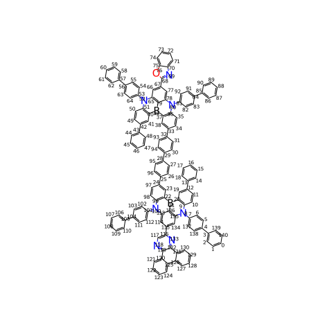 c1ccc(-c2ccc(N3c4ccc(-c5ccccc5)cc4B4c5cc(-c6ccc(-c7ccc(-c8ccc9c(c8)B8c%10cc(-c%11ccccc%11)ccc%10N(c%10ccc(-c%11ccccc%11)cc%10)c%10cc(-c%11nc%12ccccc%12o%11)cc(c%108)N9c8ccc(-c9ccccc9)cc8)cc7)cc6)ccc5N(c5ccc(-c6ccccc6)cc5)c5cc(-c6cnc7c8ccccc8c8ccccc8c7n6)cc3c54)cc2)cc1